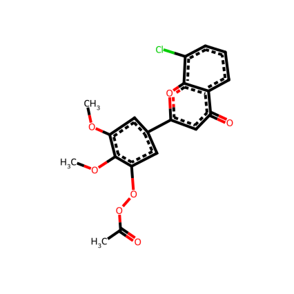 COc1cc(-c2cc(=O)c3cccc(Cl)c3o2)cc(OOC(C)=O)c1OC